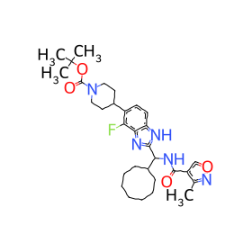 Cc1nocc1C(=O)NC(c1nc2c(F)c(C3CCN(C(=O)OC(C)(C)C)CC3)ccc2[nH]1)C1CCCCCCC1